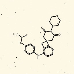 CC(F)Oc1ccc(Nc2cccc3c2CC32CC(=O)C(C3CCOCC3)C(=O)C2)cn1